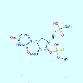 CO[C@@H]1[C@H](OP(O)(=S)OC(C)C)[C@@H](/C=C/P(=O)(O)OC)C[C@H]1n1ccc(=O)[nH]c1=O